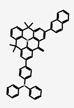 C=C1c2cc(-c3ccc(N(c4ccccc4)c4ccccc4)cc3)cc3c2N2c4c1cc(-c1ccc5ccccc5c1)cc4C(C)(C)c1cccc(c12)C3(C)C